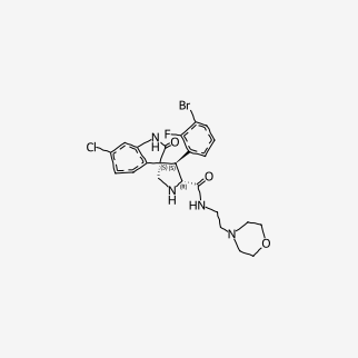 O=C(NCCN1CCOCC1)[C@@H]1NC[C@]2(C(=O)Nc3cc(Cl)ccc32)[C@H]1c1cccc(Br)c1F